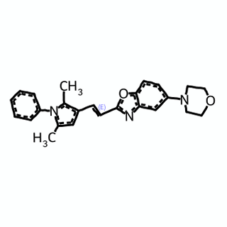 Cc1cc(/C=C/c2nc3cc(N4CCOCC4)ccc3o2)c(C)n1-c1ccccc1